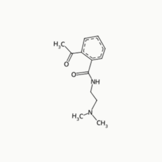 CC(=O)c1ccccc1C(=O)NCCN(C)C